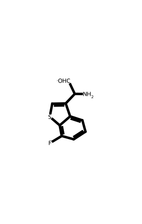 NC([C]=O)c1csc2c(F)cccc12